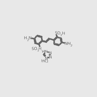 Cl.Nc1ccc(/C=C/c2ccc(N)cc2S(=O)(=O)O)c(S(=O)(=O)O)c1.c1nnn[nH]1